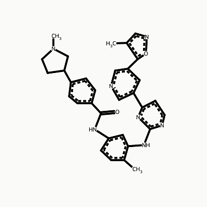 Cc1ccc(NC(=O)c2ccc(C3CCN(C)C3)cc2)cc1Nc1nccc(-c2cncc(-c3oncc3C)c2)n1